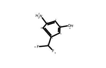 Nc1cc(O)cc(C(F)F)c1